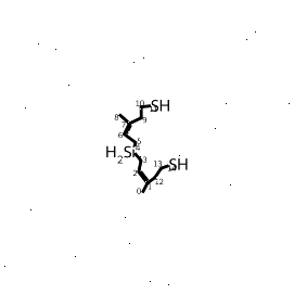 CC(=CC[SiH2]CC=C(C)CCS)CCS